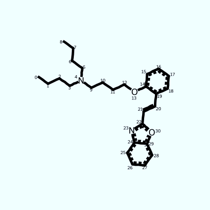 CCCCN(CCCC)CCCCOc1ccccc1C=Cc1nc2ccccc2o1